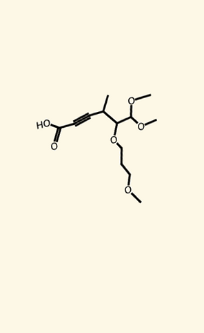 COCCCOC(C(C)C#CC(=O)O)C(OC)OC